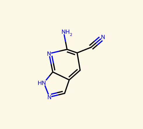 N#Cc1cc2cn[nH]c2nc1N